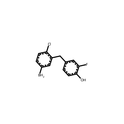 Bc1ccc(Cl)c(Cc2ccc(O)c(F)c2)c1